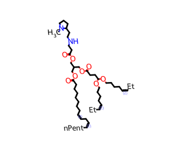 CC/C=C\CCCCOC(CCC(=O)OCC(COC(=O)CCCCCCC/C=C\C/C=C\CCCCC)COC(=O)CCNCCC1CCCN1C)OCCCC/C=C\CC